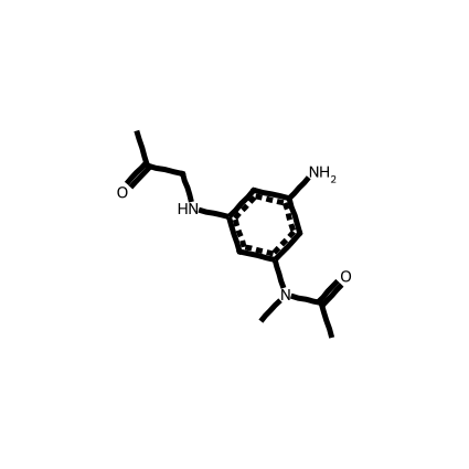 CC(=O)CNc1cc(N)cc(N(C)C(C)=O)c1